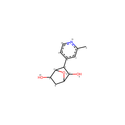 Cc1cc(C2C(O)C3CC(O)C2O3)ccn1